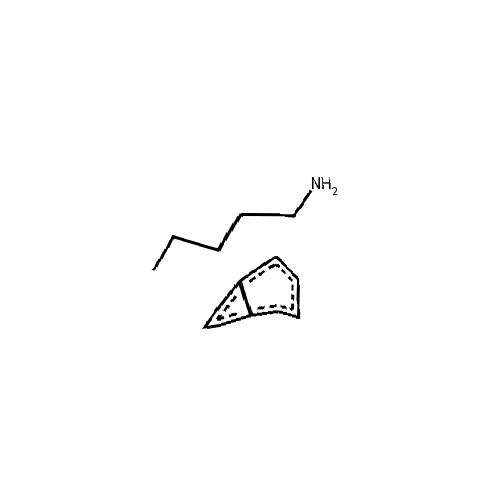 CCCCCN.c1cc2cc-2c1